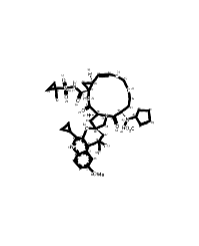 COc1ccc2nc(C3CC3)c3c(c2c1)C(F)(F)C[C@]1(C[C@H]2C(=O)N[C@]4(C(=O)NS(=O)(=O)C5(C)CC5)C[C@H]4/C=C\CCCCC[C@H](N(C(=O)O)C4CCCC4)C(=O)N2C1)O3